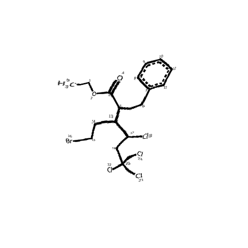 CCOC(=O)C(Cc1ccccc1)C(CCBr)C(Cl)CC(Cl)(Cl)Cl